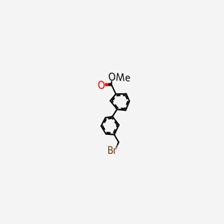 COC(=O)c1cccc(-c2cccc(CBr)c2)c1